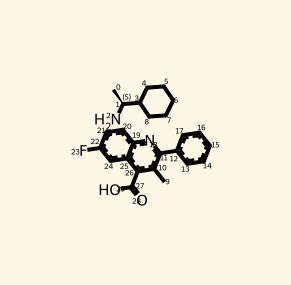 C[C@H](N)C1CCCCC1.Cc1c(-c2ccccc2)nc2ccc(F)cc2c1C(=O)O